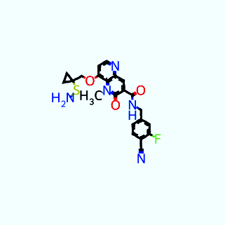 Cn1c(=O)c(C(=O)NCc2ccc(C#N)c(F)c2)cc2nccc(OCC3(SN)CC3)c21